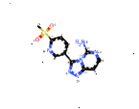 CS(=O)(=O)c1ccc(-c2nnc3ccnc(N)n23)cn1